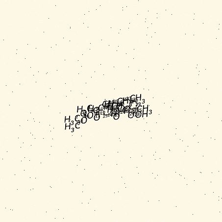 CC(C)OC(=O)OC(C)OC(=O)[C@H]1CC[C@]2(C)[C@H]3C(=O)C=C4[C@@H]5C[C@@](C)(C(=O)O)CC[C@]5(C)CC[C@@]4(C)[C@]3(C)CC[C@H]2C1(C)C